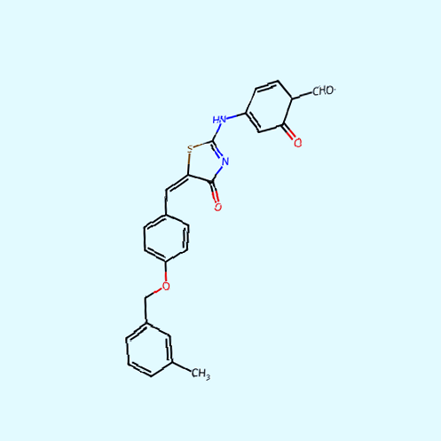 Cc1cccc(COc2ccc(C=C3SC(NC4=CC(=O)C([C]=O)C=C4)=NC3=O)cc2)c1